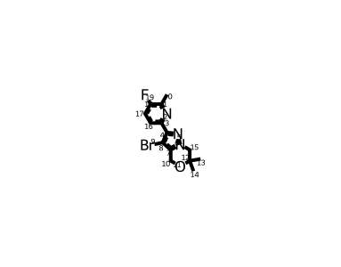 Cc1nc(-c2nn3c(c2Br)COC(C)(C)C3)ccc1F